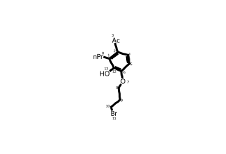 CCCc1c(C(C)=O)ccc(OCCCBr)c1O